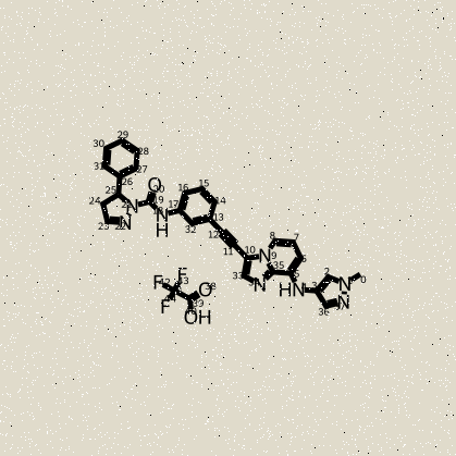 Cn1cc(Nc2cccn3c(C#Cc4cccc(NC(=O)N5N=CCC5c5ccccc5)c4)cnc23)cn1.O=C(O)C(F)(F)F